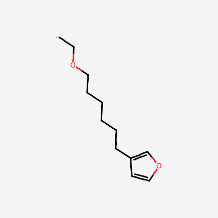 [CH2]COCCCCCCc1ccoc1